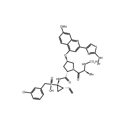 C=C[C@@H]1C[C@]1(NC(=O)[C@@H]1C[C@@H](Oc2cc(-c3csc(NC(C)C)n3)nc3cc(OC)ccc23)CN1C(=O)[C@@H](NC(=O)O)C(C)(C)C)P(=O)(O)Cc1cccc(Cl)c1